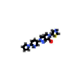 O=C1c2nn(-c3ccc(N4CCCC4)nc3)cc2CN1c1cncs1